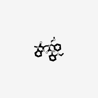 CCOc1ccccc1NC(=O)N(Cc1nc2ccccc2n(C)c1=O)[C@H](COC)c1ccccc1